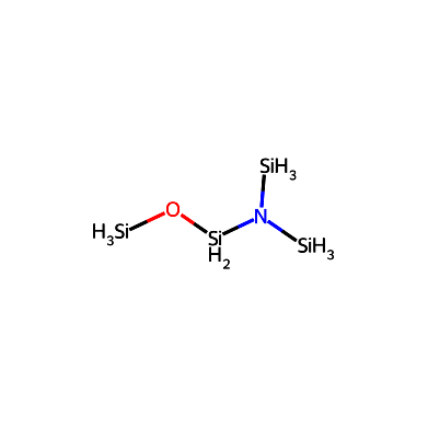 [SiH3]O[SiH2]N([SiH3])[SiH3]